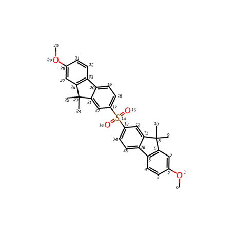 COc1ccc2c(c1)C(C)(C)c1cc(S(=O)(=O)c3ccc4c(c3)C(C)(C)c3cc(OC)ccc3-4)ccc1-2